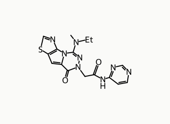 CCN(C)c1nn(CC(=O)Nc2ccncn2)c(=O)c2cc3scnc3n12